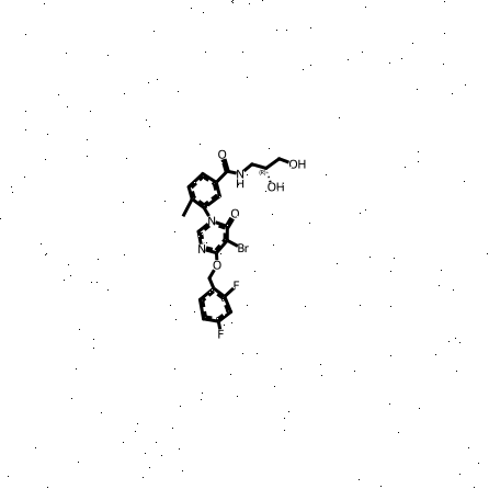 Cc1ccc(C(=O)NC[C@@H](O)CO)cc1-n1cnc(OCc2ccc(F)cc2F)c(Br)c1=O